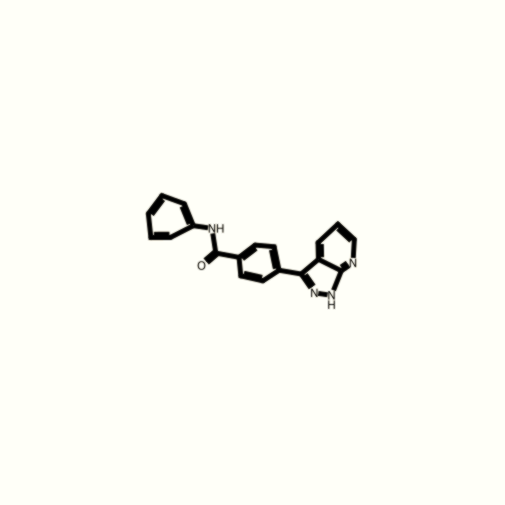 O=C(Nc1ccccc1)c1ccc(-c2n[nH]c3ncccc23)cc1